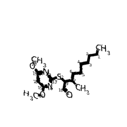 CCCCCCCC(C)C(C=O)Sc1nc(OC)cc(OC)n1